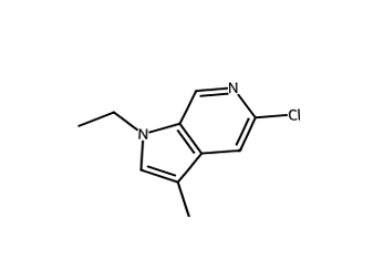 CCn1cc(C)c2cc(Cl)ncc21